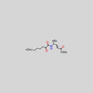 CCCCCCCCCCCCCCC(=O)C(=O)NC(/C=C/C(=O)OC)CCCC